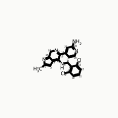 CC1=CC2=C(NCc3c(Cl)cccc3Cl)C(c3ccnc(N)c3)=NCC2=N1